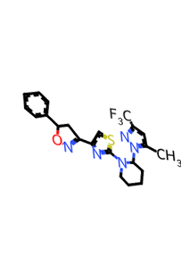 Cc1cc(C(F)(F)F)nn1C1CCCCN1c1nc(C2=NOC(c3ccccc3)C2)cs1